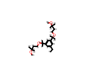 CCc1cc(C(C)(C)OCCC(C)(C)OC)cc(C(C)(C)OCCC(C)(C)OC)c1